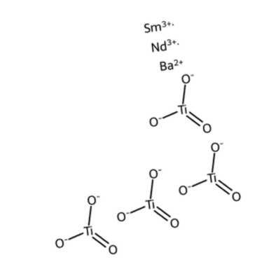 [Ba+2].[Nd+3].[O]=[Ti]([O-])[O-].[O]=[Ti]([O-])[O-].[O]=[Ti]([O-])[O-].[O]=[Ti]([O-])[O-].[Sm+3]